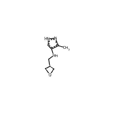 Cc1n[nH]cc1NCC1COC1